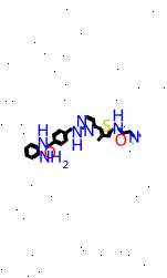 Cc1cc(NC(=O)CN(C)C)sc1-c1ccnc(NCc2ccc(C(=O)Nc3ccccc3N)cc2)n1